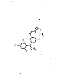 CCN(C)/C=N\c1cc(F)cc(N(C)c2ccc(Cl)cc2F)c1C